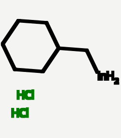 Cl.Cl.[InH2][CH2]C1CCCCC1